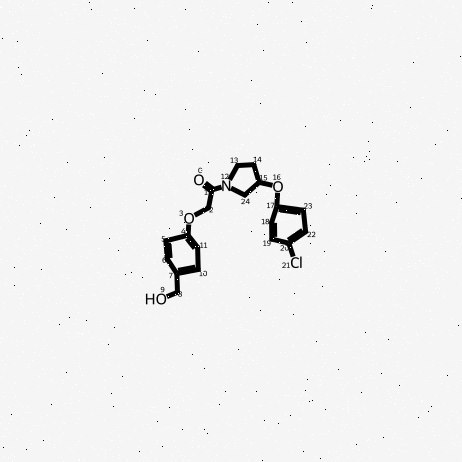 O=C(COc1ccc(CO)cc1)N1CCC(Oc2ccc(Cl)cc2)C1